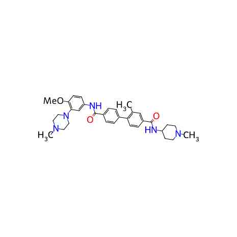 COc1ccc(NC(=O)c2ccc(-c3ccc(C(=O)NC4CCN(C)CC4)cc3C)cc2)cc1N1CCN(C)CC1